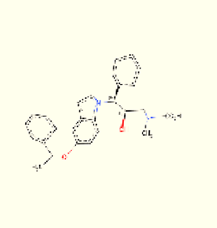 CC(Oc1ccc2c(ccn2[C@@H](c2ccccc2)[C@H](O)CN(C)C(=O)O)c1)c1ccccc1